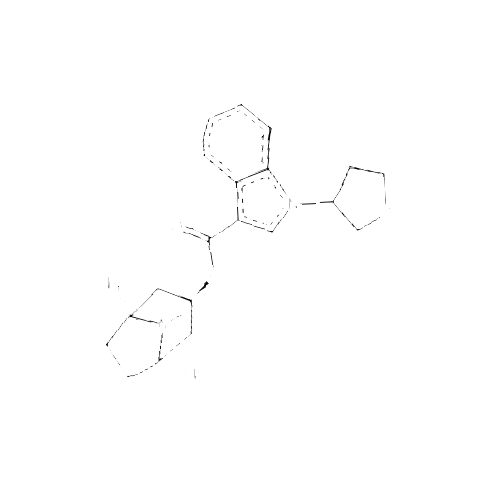 CN1[C@@H]2CC[C@H]1C[C@@H](OC(=O)c1cn(C3CCOC3)c3ccccc13)C2